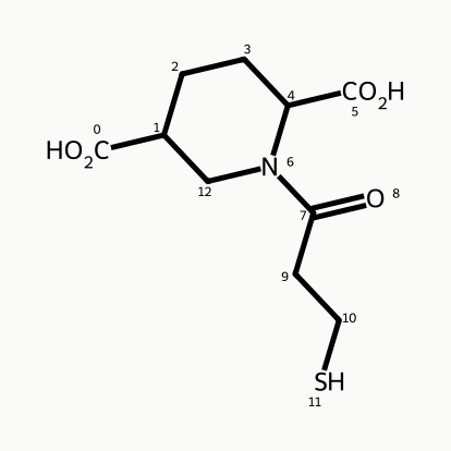 O=C(O)C1CCC(C(=O)O)N(C(=O)CCS)C1